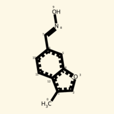 Cc1coc2cc(C=NO)ccc12